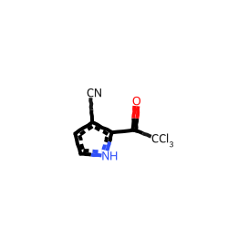 N#Cc1cc[nH]c1C(=O)C(Cl)(Cl)Cl